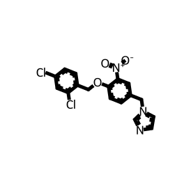 O=[N+]([O-])c1cc(Cn2ccnc2)ccc1OCc1ccc(Cl)cc1Cl